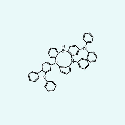 B1c2ccccc2N(c2ccc3c4ccccc4n(-c4ccccc4)c3c2)c2cccc(c2)N(c2ccccc2)c2cc(N(c3ccccc3)c3ccccc3)ccc21